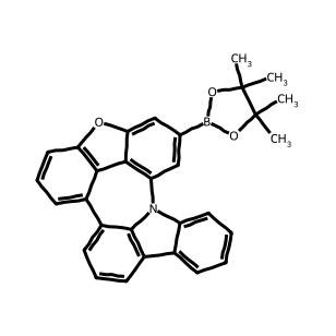 CC1(C)OB(c2cc3oc4cccc5c6cccc7c8ccccc8n(c(c2)c3c45)c67)OC1(C)C